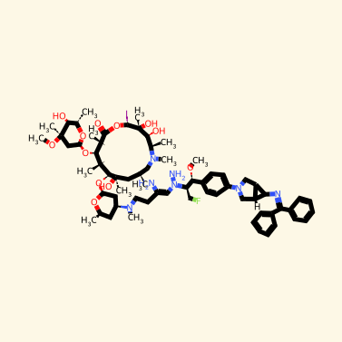 CO[C@H](c1ccc(N2CC3C(N=C(c4ccccc4)c4ccccc4)[C@@H]3C2)cc1)[C@@H](CF)N(N)/C=C(\N)CCN(C)[C@@H]1C[C@H](O[C@@H]2[C@@H](C)[C@H](O[C@H]3C[C@@](C)(OC)[C@@H](O)[C@H](C)O3)[C@@H](C)C(=O)O[C@H](I)[C@@](C)(O)[C@H](O)[C@@H](C)N(C)C[C@H](C)C[C@@]2(C)O)O[C@H](C)C1